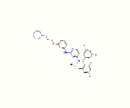 Cc1cc(C)c(C(c2cc(F)cc(F)c2)N(C(=O)O)c2ccnc(Nc3cccc(OCCCN4CCCCC4)c3)n2)c(C)c1